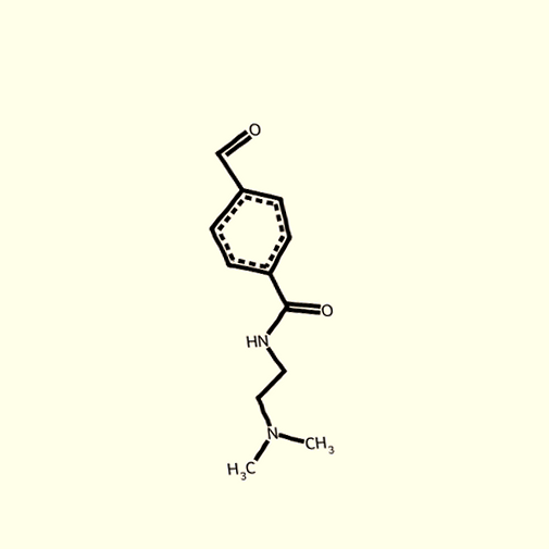 CN(C)CCNC(=O)c1ccc(C=O)cc1